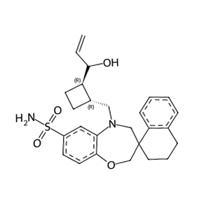 C=CC(O)[C@@H]1CC[C@H]1CN1CC2(CCCc3ccccc32)COc2ccc(S(N)(=O)=O)cc21